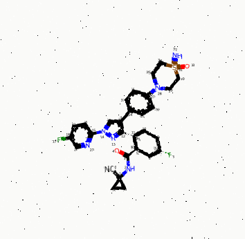 N#CC1(NC(=O)[C@@H]2C[C@@H](F)CC[C@H]2c2nn(-c3ccc(F)cn3)cc2-c2ccc(N3CCS(=N)(=O)CC3)cc2)CC1